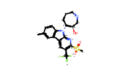 Cc1ccc2c(c1)c1cc(C(F)(F)F)c(S(C)(=O)=O)nc1n2[C@@H]1CCCNC[C@H]1O